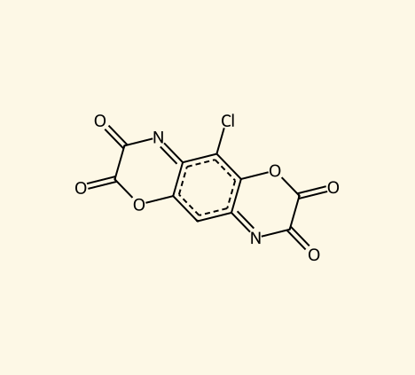 O=C1N=c2cc3c(c(Cl)c2OC1=O)=NC(=O)C(=O)O3